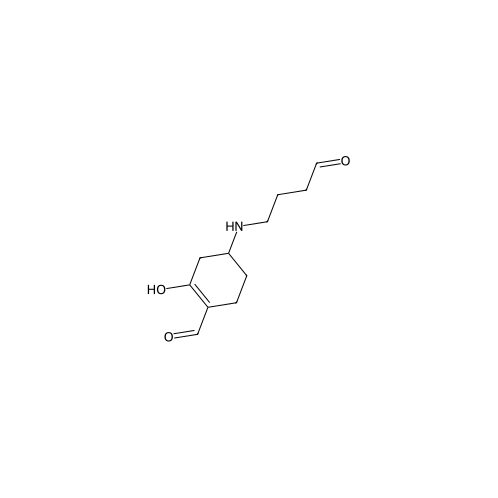 O=CCCCNC1CCC(C=O)=C(O)C1